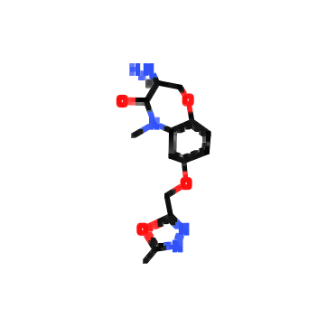 Cc1nnc(COc2ccc3c(c2)N(C)C(=O)[C@@H](N)CO3)o1